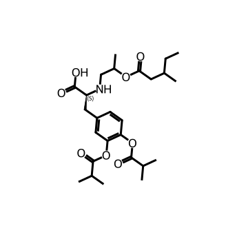 CCC(C)CC(=O)OC(C)CN[C@@H](Cc1ccc(OC(=O)C(C)C)c(OC(=O)C(C)C)c1)C(=O)O